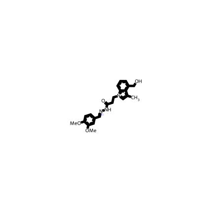 COc1ccc(/C=N/NC(=O)CCn2cc(C)c3c(CO)cccc32)cc1OC